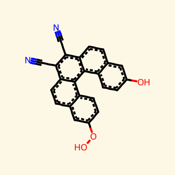 N#Cc1c(C#N)c2ccc3cc(OO)ccc3c2c2c1ccc1cc(O)ccc12